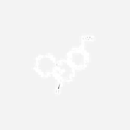 COc1ccc2c(c1)[C@]13CCCC[C@@H]1[C@H](CCC3)C2